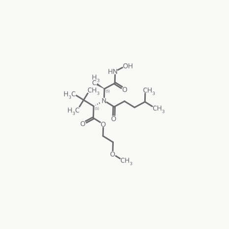 COCCOC(=O)[C@@H](N(C(=O)CCC(C)C)[C@@H](C)C(=O)NO)C(C)(C)C